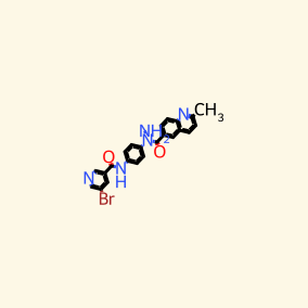 Cc1ccc2cc(C(=O)N(N)c3ccc(NC(=O)c4cncc(Br)c4)cc3)ccc2n1